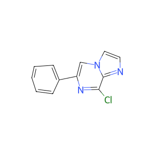 Clc1nc(-c2ccccc2)cn2ccnc12